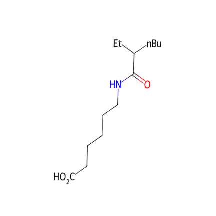 CCCCC(CC)C(=O)NCCCCCC(=O)O